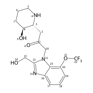 O=C(C[C@H]1NCCC[C@@H]1O)Cn1c(CO)nc2cccc(OC(F)(F)F)c21